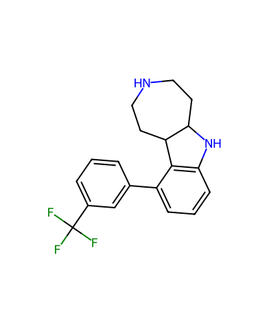 FC(F)(F)c1cccc(-c2cccc3c2C2CCNCCC2N3)c1